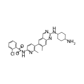 Cc1cc2nc(NC3CCC(N)CC3)ncc2cc1-c1ccc(NS(=O)(=O)c2ccccc2Cl)nc1C